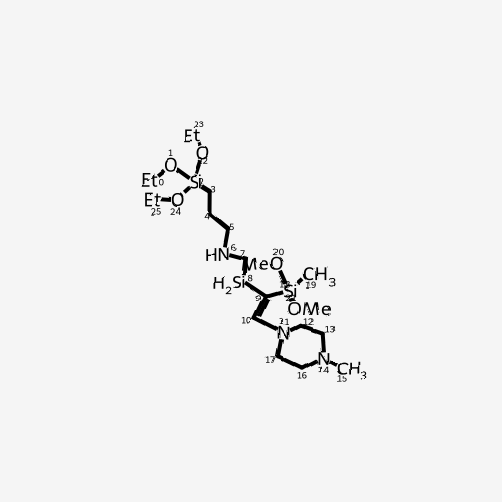 CCO[Si](CCCNC[SiH2]C(=CN1CCN(C)CC1)[Si](C)(OC)OC)(OCC)OCC